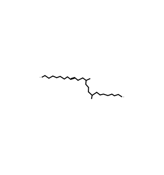 [CH2]CCCCCCCC=CCCC(C)CCCC(C)CCCCCCC[CH2]